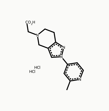 Cc1cc(-n2cc3c(n2)CCN(CC(=O)O)C3)ccn1.Cl.Cl